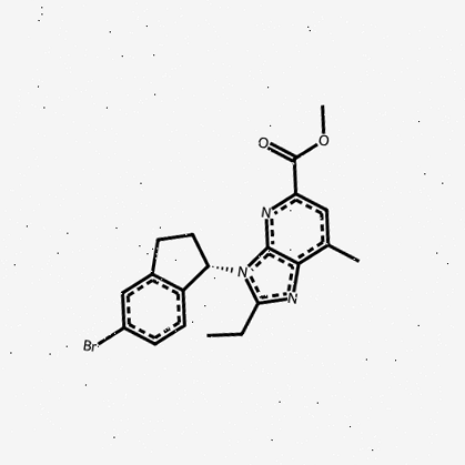 CCc1nc2c(C)cc(C(=O)OC)nc2n1[C@H]1CCc2cc(Br)ccc21